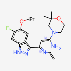 C=C/N=C(\C=C(/N)N1CCOC(C)(C)C1)c1n[nH]c2cc(F)c(OC(C)C)cc12